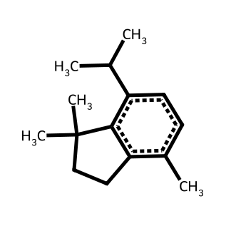 Cc1ccc(C(C)C)c2c1CCC2(C)C